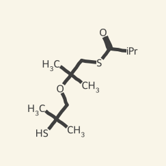 CC(C)C(=O)SCC(C)(C)OCC(C)(C)S